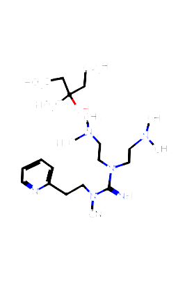 CN(C)CCN(CCN(C)C)C(=N)N(C#N)CCc1ccccn1.O=C(O)CC(O)(CC(=O)O)C(=O)O